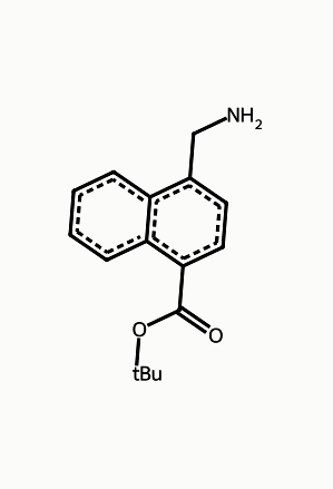 CC(C)(C)OC(=O)c1ccc(CN)c2ccccc12